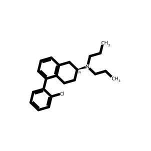 CCCN(CCC)[C@H]1CCc2c(cccc2-c2ccccc2Cl)C1